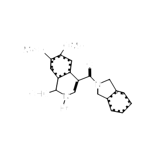 CCN1C=C(C(=O)N2Cc3ccccc3C2)c2cc(OC)c(OC)cc2C1C=O